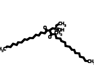 CCCCCCCCCCCCCCCC(=O)C(C[N+](C)(O)CC)C(=O)CCCCCCCCCCCCCCC